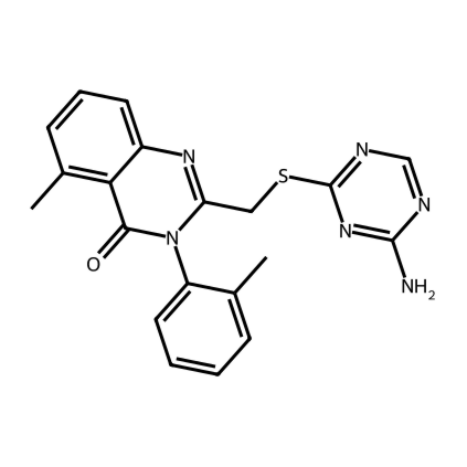 Cc1ccccc1-n1c(CSc2ncnc(N)n2)nc2cccc(C)c2c1=O